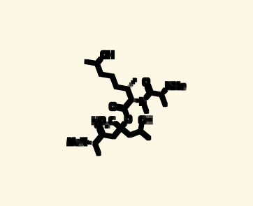 CN[C@@H](C)C(=O)CC(CC(C)O)(OC(=O)[C@H]([C@@H](C)CCCC(C)O)N(C)C(=O)[C@H](C)NC)C(=O)O